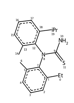 CCc1cccc(C)c1N(C(N)=S)c1c(C)cccc1C(C)C